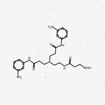 CC(=O)NCCC(=O)NCCN(CCC(=O)Nc1cccc(N)c1)CCC(=O)Nc1cccc(N)c1